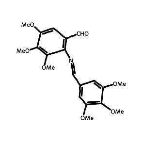 COc1cc(C=Nc2c(C=O)cc(OC)c(OC)c2OC)cc(OC)c1OC